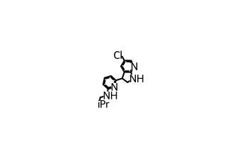 CC(C)CNc1cccc(C2CNc3ncc(Cl)cc32)n1